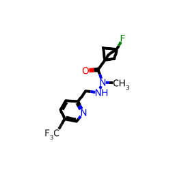 CN(NCc1ccc(C(F)(F)F)cn1)C(=O)C12CC(F)(C1)C2